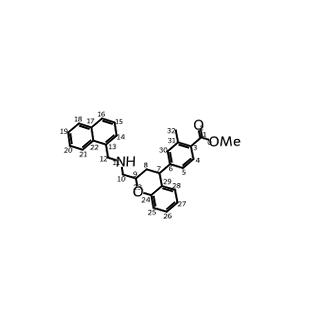 COC(=O)c1ccc(C2CC(CNCc3cccc4ccccc34)Oc3ccccc32)cc1C